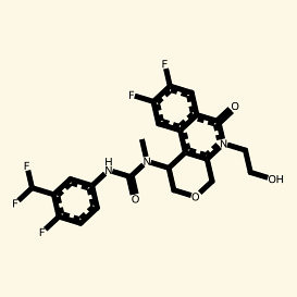 CN(C(=O)Nc1ccc(F)c(C(F)F)c1)C1COCc2c1c1cc(F)c(F)cc1c(=O)n2CCO